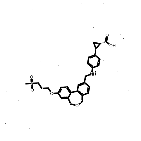 CS(=O)(=O)CCCOc1ccc2c(c1)COCc1ccc(CNc3ccc([C@H]4C[C@@H]4C(=O)O)cc3)cc1-2